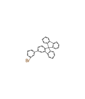 Brc1cccc(-c2ccc3c(c2)-c2ccccc2C32c3ccccc3-c3ccccc32)c1